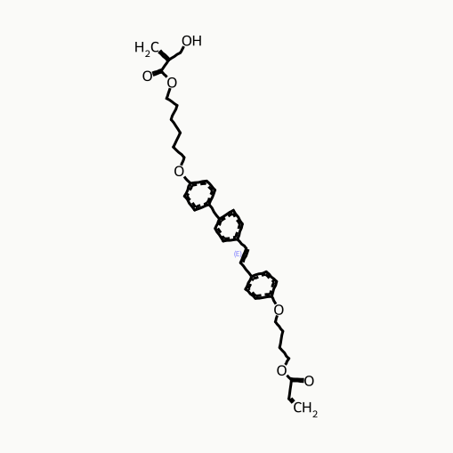 C=CC(=O)OCCCCOc1ccc(/C=C/c2ccc(-c3ccc(OCCCCCCOC(=O)C(=C)CO)cc3)cc2)cc1